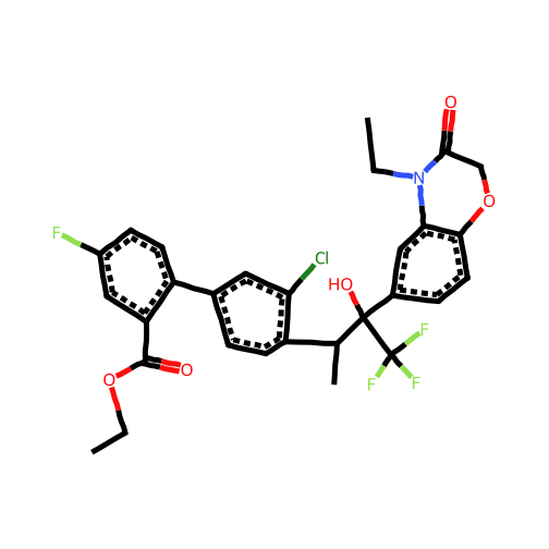 CCOC(=O)c1cc(F)ccc1-c1ccc(C(C)C(O)(c2ccc3c(c2)N(CC)C(=O)CO3)C(F)(F)F)c(Cl)c1